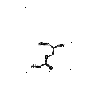 CCCCCCC(=O)OCC(CCC)CCCCC